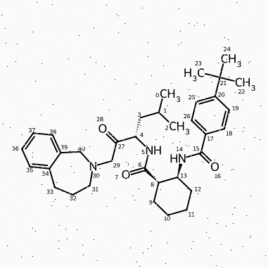 CC(C)C[C@H](NC(=O)[C@@H]1CCCC[C@@H]1NC(=O)c1ccc(C(C)(C)C)cc1)C(=O)CN1CCCc2ccccc2C1